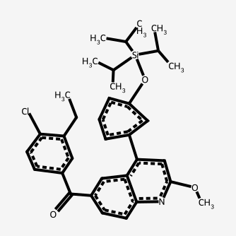 CCc1cc(C(=O)c2ccc3nc(OC)cc(-c4cccc(O[Si](C(C)C)(C(C)C)C(C)C)c4)c3c2)ccc1Cl